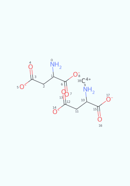 NC(CC(=O)[O-])C(=O)[O-].NC(CC(=O)[O-])C(=O)[O-].[C+4]